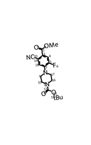 COC(=O)c1cc(F)c(N2CCN(C(=O)OC(C)(C)C)CC2)cc1C#N